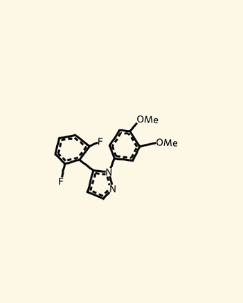 COc1ccc(-n2nccc2-c2c(F)cccc2F)cc1OC